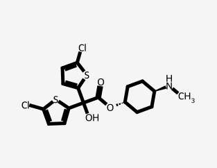 CN[C@H]1CC[C@H](OC(=O)C(O)(c2ccc(Cl)s2)c2ccc(Cl)s2)CC1